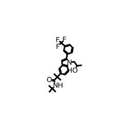 CC(O)Cn1c(-c2cccc(C(F)(F)F)c2)cc2cc(C(C)(C)C(=O)NC(C)(C)C)ccc21